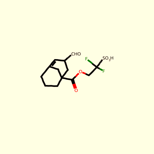 O=CC1C=C2CCCC(C(=O)OCC(F)(F)S(=O)(=O)O)(C2)C1